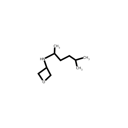 CC(C)CCC(C)NC1COC1